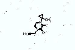 C#CCn1ccn(C2(C)CC2)c(=O)c1=O